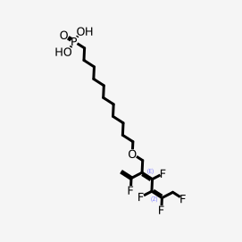 C=C(F)/C(COCCCCCCCCCCCP(=O)(O)O)=C(F)\C(F)=C(\F)CF